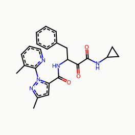 Cc1cc(C(=O)NC(Cc2ccccc2)C(=O)C(=O)NC2CC2)n(-c2ncccc2C)n1